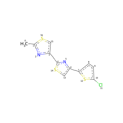 Cc1nc(-c2nc(-c3ccc(Cl)s3)cs2)cs1